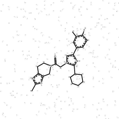 Cc1nc2c(o1)CN(C(=O)Cn1cc(-c3ccc(F)c(C)c3)nc1C1CCCCC1)CC2